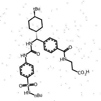 CCCCNS(=O)(=O)c1ccc(NC(=O)NC(c2ccc(C(=O)NCCC(=O)O)cc2)[C@H]2CC[C@H](C(C)(C)C)CC2)cc1